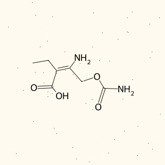 CCC(C(=O)O)=C(N)COC(N)=O